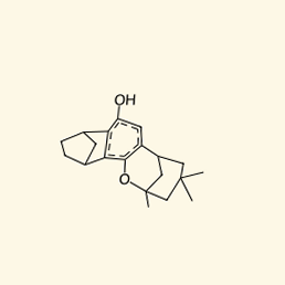 CC1(C)CC2CC(C)(C1)Oc1c2cc(O)c2c1C1CCC2C1